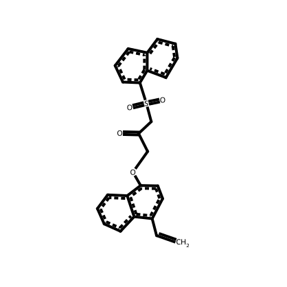 C=Cc1ccc(OCC(=O)CS(=O)(=O)c2cccc3ccccc23)c2ccccc12